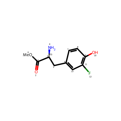 COC(=O)[C@@H](N)Cc1ccc(O)c(F)c1